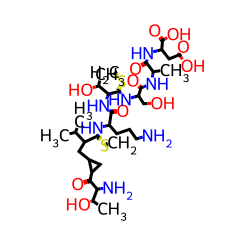 C=S=C(NC(CCCN)C(=O)NC(C(NC(CO)C(=O)NC(C)C(=O)NC(CC(=O)O)C(=O)O)=S=C)C(C)O)C(CC1CC1C(=O)C(N)C(C)O)C(C)C